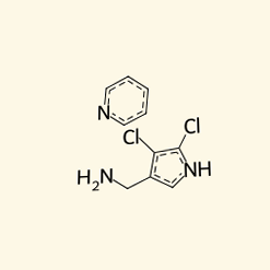 NCc1c[nH]c(Cl)c1Cl.c1ccncc1